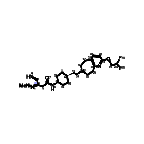 CN/N=C(\C=N)CC(=O)N[C@H]1CC[C@H](CCN2CCc3ccc(OCC(F)F)nc3CC2)CC1